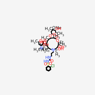 CC[C@H]1OC(=O)[C@H](C)[C@@H](O[C@H]2C[C@@](C)(OC)[C@@H](O)[C@H](C)O2)[C@H](C)[C@@H](O[C@@H]2O[C@H](C)C[C@H](N(C)C)[C@H]2O)[C@](C)(O)C[C@@H](C)CN(CCCNC(=O)NS(=O)(=O)c2ccccc2Cl)[C@H](C)[C@@H](O)[C@]1(C)O